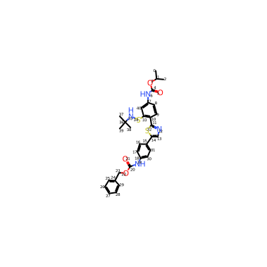 CC(C)OC(=O)Nc1ccc(-c2ncc(-c3ccc(NC(=O)OCc4ccccc4)cc3)s2)c(SNC(C)(C)C)c1